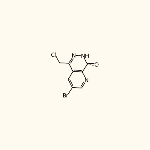 O=c1[nH]nc(CCl)c2cc(Br)cnc12